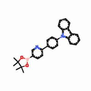 CC1(C)OB(c2ccc(-c3ccc(-n4c5ccccc5c5ccccc54)cc3)nc2)OC1(C)C